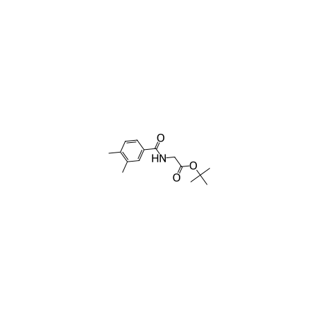 Cc1ccc(C(=O)NCC(=O)OC(C)(C)C)cc1C